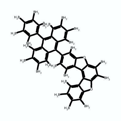 Bc1c(B)c(B)c(-c2c3c(B)c(B)c(B)c(B)c3c(-c3c(B)c(B)c4c(oc5c(B)c(B)c6oc7c(B)c(B)c(B)c(B)c7c6c54)c3B)c3c(B)c(B)c(B)c(B)c23)c(B)c1B